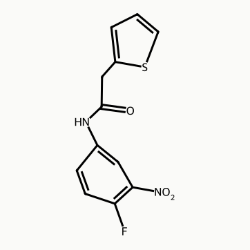 O=C(Cc1cccs1)Nc1ccc(F)c([N+](=O)[O-])c1